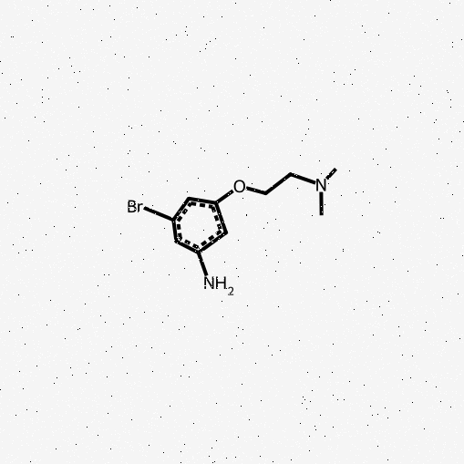 CN(C)CCOc1cc(N)cc(Br)c1